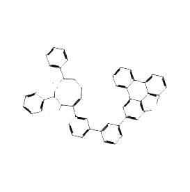 CCC1/C(c2cccc(-c3cccc(-c4cc5sc6cccc7c8ccccc8c(c4)c5c67)c3)c2)=C\CCC(c2ccccc2)NC1c1ccccc1